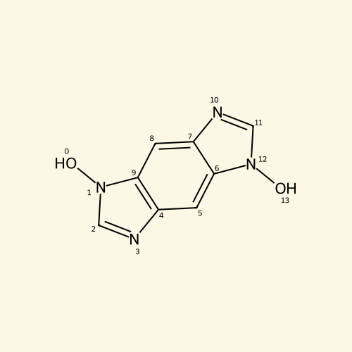 On1cnc2cc3c(cc21)ncn3O